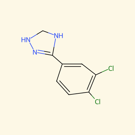 Clc1ccc(C2=NNCN2)cc1Cl